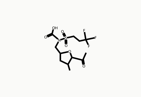 CC(=O)C1OC(CN(C(=O)O)S(=O)(=O)CCC(F)(F)F)CC1C